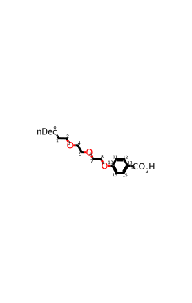 CCCCCCCCCCCCOCCOCCOc1ccc(C(=O)O)cc1